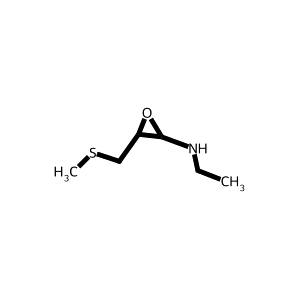 CCNC1OC1CSC